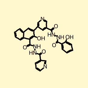 O=C(NNC(=O)c1ccccc1O)c1cncc(-c2cc3ccccc3c(C(=O)NNC(=O)c3cccnc3)c2O)c1